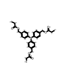 O=C(CI)OCc1ccc(N(c2ccc(COC(=O)CI)cc2)c2ccc(COC(=O)CI)cc2)cc1